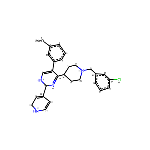 COc1cccc(C2=CNC(C3=CCNC=C3)N=C2C2CCN(Cc3cccc(Cl)c3)CC2)c1